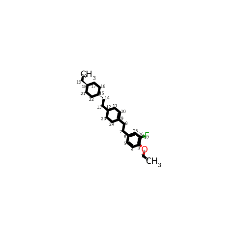 CCOc1ccc(CCC2=CCC(CC[C@H]3CC[C@H](CC)CC3)CC2)cc1F